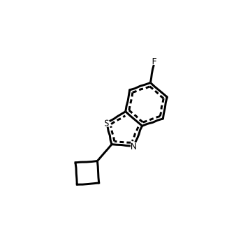 Fc1ccc2nc(C3CCC3)sc2c1